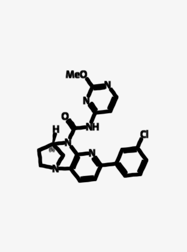 COc1nccc(NC(=O)N2c3nc(-c4cccc(Cl)c4)ccc3N3CC[C@H]2C3)n1